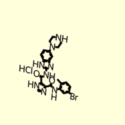 Cc1ccc(Br)cc1NC(=O)c1nc[nH]c1C(=O)Nc1nc2cc(N3CCNCC3)ccc2[nH]1.Cl